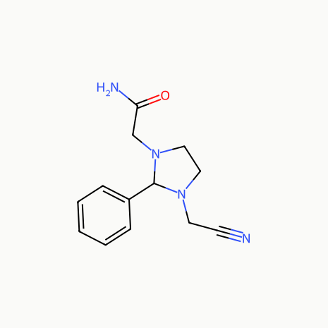 N#CCN1CCN(CC(N)=O)C1c1ccccc1